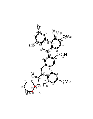 COc1ccc(N(Cc2ccc(C(=O)O)c([C@@H](Cc3c(Cl)c[n+]([O-])cc3Cl)c3ccc(OC)c(OC)c3)c2)C(=O)O[C@H]2CN3CCC2CC3)c(F)c1